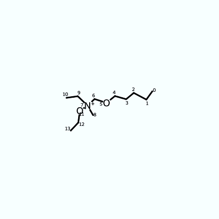 CCCCCOC[N+](C)(CC)OCC